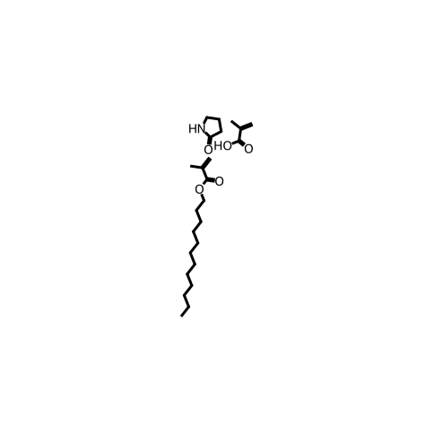 C=C(C)C(=O)O.C=C(C)C(=O)OCCCCCCCCCCCC.O=C1CCCN1